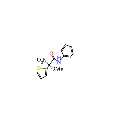 COC(C(=O)Nc1ccccc1)(c1cccs1)[N+](=O)[O-]